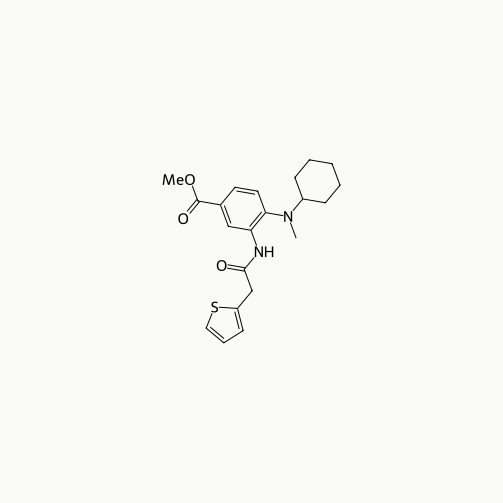 COC(=O)c1ccc(N(C)C2CCCCC2)c(NC(=O)Cc2cccs2)c1